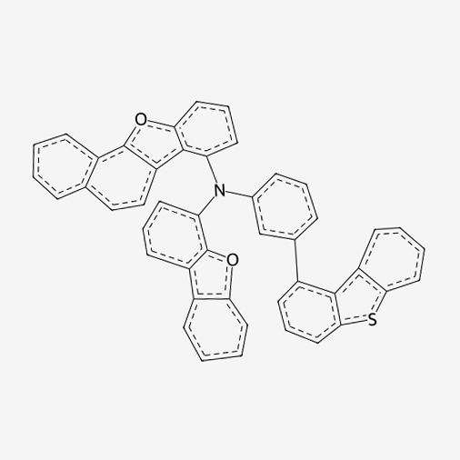 c1cc(-c2cccc3sc4ccccc4c23)cc(N(c2cccc3c2oc2ccccc23)c2cccc3oc4c5ccccc5ccc4c23)c1